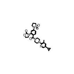 Cc1cc(C2CC2)cnc1N1CCN(C(=O)c2ccc(N3CCCS3(=O)=O)cc2N2CCOC2=O)CC1